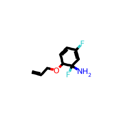 C=CCOC1C=CC(F)=CC1(N)F